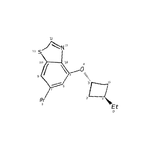 CC[C@H]1C[C@H](Oc2cc(C(C)C)cc3scnc23)C1